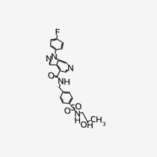 CC(O)CNS(=O)(=O)c1ccc(CNC(=O)c2cncc3c2cnn3-c2ccc(F)cc2)cc1